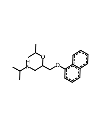 CC(C)NCC(COc1cccc2ccccc12)OC(C)C